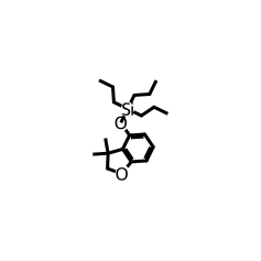 CCC[Si](CCC)(CCC)Oc1cccc2c1C(C)(C)CO2